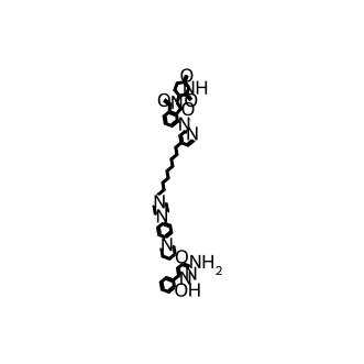 CN(c1cc(CCCCCCCCCN2CCN(c3ccc(N4CCCC(Oc5cc(-c6ccccc6O)nnc5N)C4)cc3)CC2)ccn1)c1cccc2c1C(=O)N(C1CCC(=O)NC1=O)C2=O